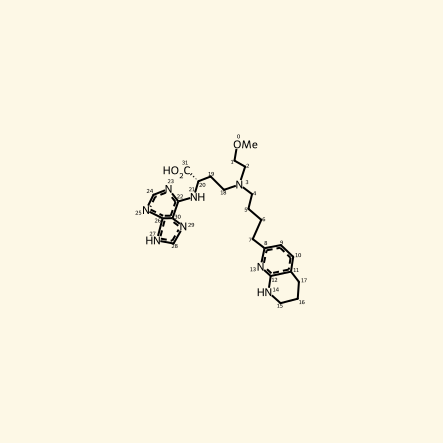 COCCN(CCCCc1ccc2c(n1)NCCC2)CC[C@H](Nc1ncnc2[nH]cnc12)C(=O)O